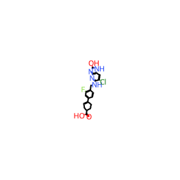 O=C(O)C1CC=C(c2ccc(CNc3nc4nc(O)[nH]c4cc3Cl)c(F)c2)CC1